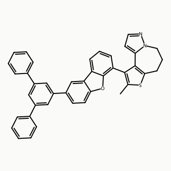 Cc1sc2c(c1-c1cccc3c1oc1ccc(-c4cc(-c5ccccc5)cc(-c5ccccc5)c4)cc13)-c1ccnn1CCC2